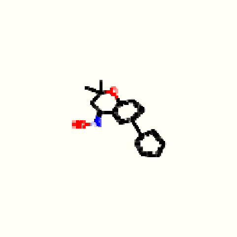 CC1(C)C/C(=N\O)c2cc(-c3ccccc3)ccc2O1